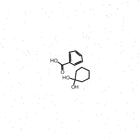 O=C(O)c1ccccc1.OC1(O)CCCCC1